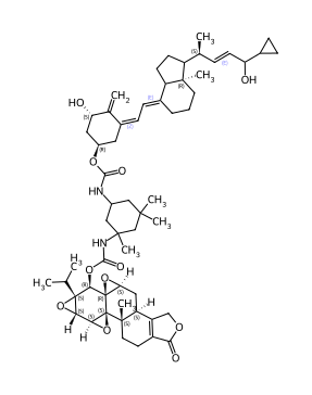 C=C1/C(=C\C=C2/CCC[C@@]3(C)C2CCC3[C@@H](C)/C=C/C(O)C2CC2)C[C@@H](OC(=O)NC2CC(C)(C)CC(C)(NC(=O)O[C@@H]3[C@@]4(C(C)C)O[C@H]4[C@@H]4O[C@]45[C@]34O[C@H]4C[C@H]3C4=C(CC[C@@]35C)C(=O)OC4)C2)C[C@@H]1O